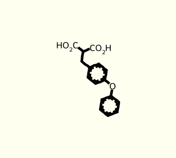 O=C(O)C(Cc1ccc(Oc2ccccc2)cc1)C(=O)O